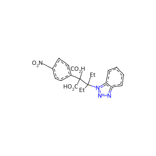 CCC(CC)(n1nnc2ccccc21)C(C(=O)O)(C(=O)O)c1ccc([N+](=O)[O-])cc1